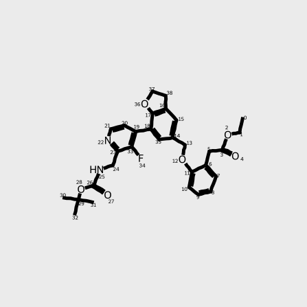 CCOC(=O)Cc1ccccc1OCc1cc2c(c(-c3ccnc(CNC(=O)OC(C)(C)C)c3F)c1)OCC2